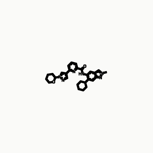 Cn1cc2cc(NC(=O)c3cccc(-c4cnn(C5CCCCO5)c4)n3)c(C3CCCCC3)cc2n1